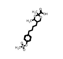 CC1OC(C)(C(=O)O)OCC1CCCCc1ccc(OS(C)(=O)=O)cc1